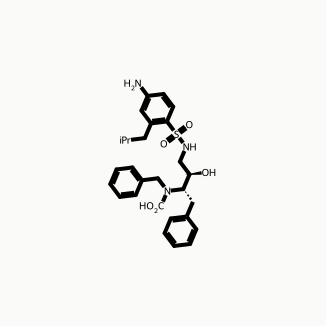 CC(C)Cc1cc(N)ccc1S(=O)(=O)NC[C@@H](O)[C@H](Cc1ccccc1)N(Cc1ccccc1)C(=O)O